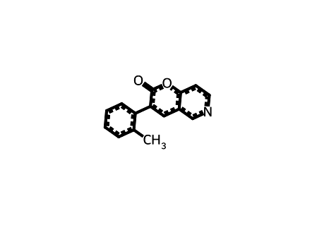 Cc1ccccc1-c1cc2cnccc2oc1=O